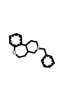 c1ccc(CN2CCC3c4ccccc4OCCC3C2)cc1